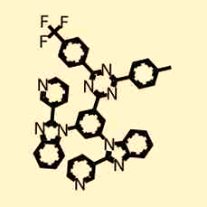 Cc1ccc(-c2nc(-c3ccc(C(F)(F)F)cc3)nc(-c3cc(-n4c(-c5cccnc5)nc5ccccc54)cc(-n4c(-c5cccnc5)nc5ccccc54)c3)n2)cc1